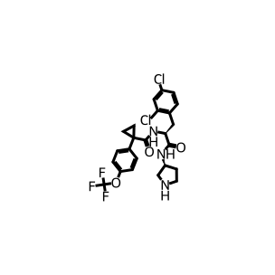 O=C(N[C@H]1CCNC1)[C@H](Cc1ccc(Cl)cc1Cl)NC(=O)C1(c2ccc(OC(F)(F)F)cc2)CC1